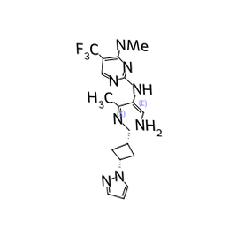 CNc1nc(NC(=C/N)/C(C)=N\C[C@H]2C[C@@H](n3cccn3)C2)ncc1C(F)(F)F